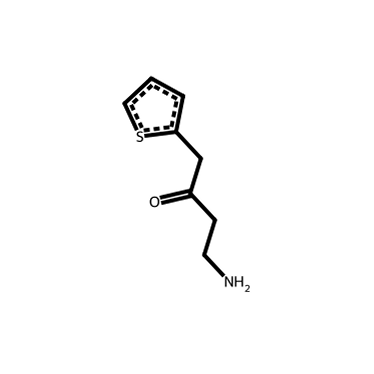 NCCC(=O)Cc1cccs1